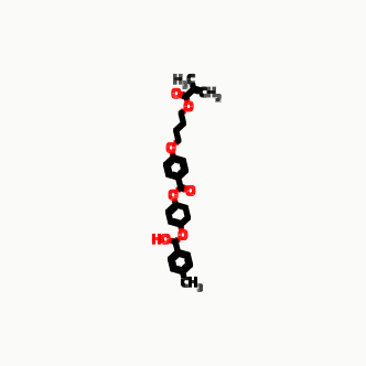 C=C(C)C(=O)OCCCCOc1ccc(C(=O)OC2=CC=C(OC(O)c3ccc(C)cc3)CC2)cc1